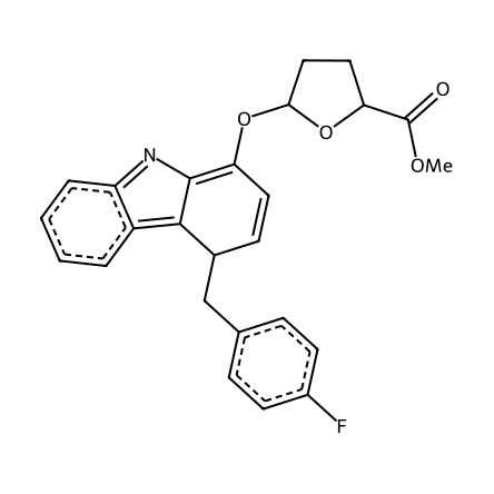 COC(=O)C1CCC(OC2=C3N=c4ccccc4=C3C(Cc3ccc(F)cc3)C=C2)O1